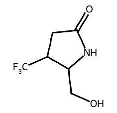 O=C1CC(C(F)(F)F)C(CO)N1